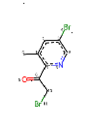 Cc1cc(Br)cnc1C(=O)CBr